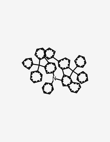 c1ccc(-c2ccc3c(c2)-c2c(N(c4ccccc4)c4ccc5c(c4)C(c4ccccc4)(c4ccccc4)c4ccccc4-5)cc4ccccc4c2C3(c2ccccc2)c2ccccc2)cc1